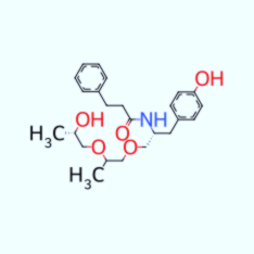 CC(COC[C@@H](Cc1ccc(O)cc1)NC(=O)CCc1ccccc1)OC[C@H](C)O